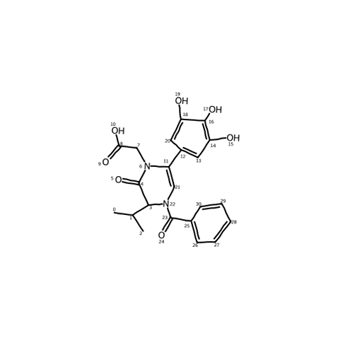 CC(C)C1C(=O)N(CC(=O)O)C(c2cc(O)c(O)c(O)c2)=CN1C(=O)c1ccccc1